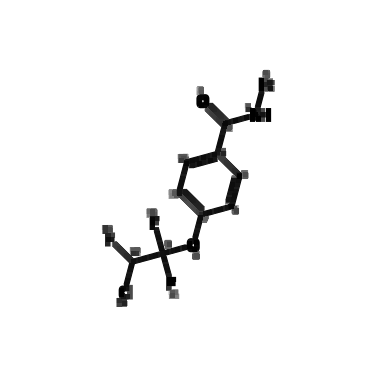 CCNC(=O)c1ccc(OC(F)(F)C(F)Cl)cc1